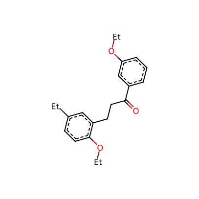 CCOc1cccc(C(=O)CCc2cc(CC)ccc2OCC)c1